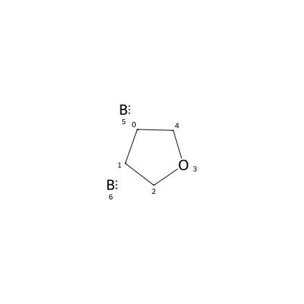 C1CCOC1.[B].[B]